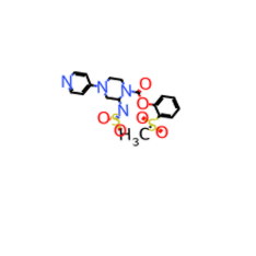 CS(=O)(=O)c1ccccc1OC(=O)N1CCN(c2ccncc2)CC1N=S(=O)=O